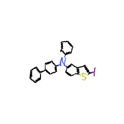 Ic1cc2cc(N(c3ccccc3)c3ccc(-c4ccccc4)cc3)ccc2s1